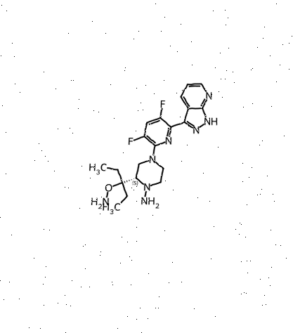 CCC(CC)(ON)[C@@H]1CN(c2nc(-c3n[nH]c4ncccc34)c(F)cc2F)CCN1N